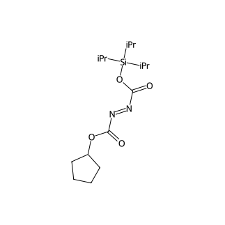 CC(C)[Si](OC(=O)N=NC(=O)OC1CCCC1)(C(C)C)C(C)C